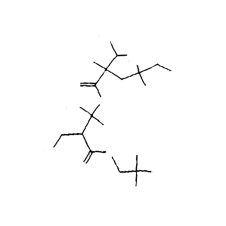 CCC(C(=O)OCC(F)(F)F)C(C)(C)OC(=O)C(C)(CC(C)(C)CC)C(C)C